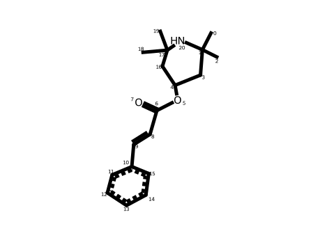 CC1(C)CC(OC(=O)C=Cc2ccccc2)CC(C)(C)N1